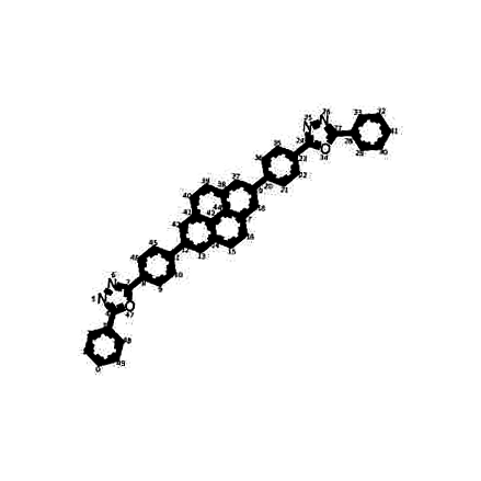 c1ccc(-c2nnc(-c3ccc(-c4cc5ccc6cc(-c7ccc(-c8nnc(-c9ccccc9)o8)cc7)cc7ccc(c4)c5c67)cc3)o2)cc1